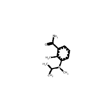 Cc1c(C(N)=O)cccc1N(C)C(C)C